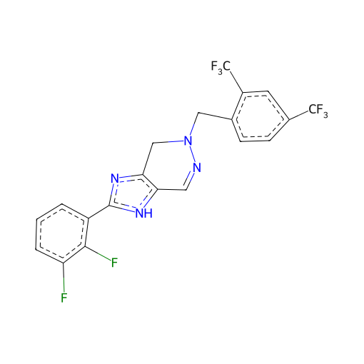 Fc1cccc(-c2nc3c([nH]2)C=NN(Cc2ccc(C(F)(F)F)cc2C(F)(F)F)C3)c1F